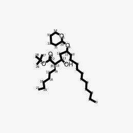 CCCCCCCCCCCC(CC(O)[C@@H](CCCCCC)C(=O)OC(C)(C)C)OC1CCCCO1